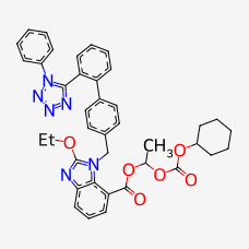 CCOc1nc2cccc(C(=O)OC(C)OC(=O)OC3CCCCC3)c2n1Cc1ccc(-c2ccccc2-c2nnnn2-c2ccccc2)cc1